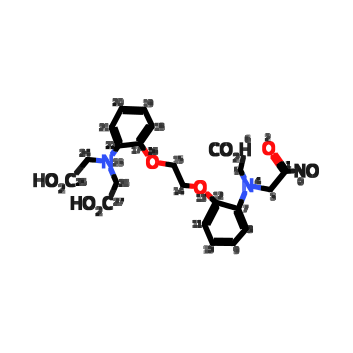 O=NC(=O)CN(CC(=O)O)c1ccccc1OCCOc1ccccc1N(CC(=O)O)CC(=O)O